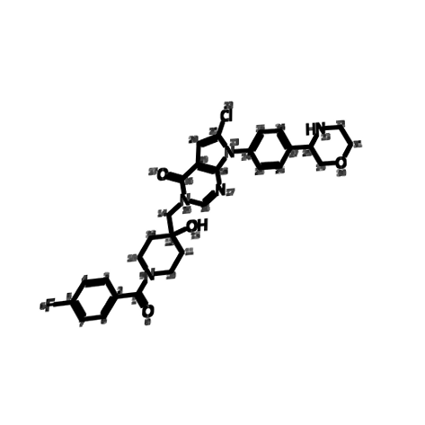 O=C(c1ccc(F)cc1)N1CCC(O)(Cn2cnc3c(cc(Cl)n3-c3ccc(C4COCCN4)cc3)c2=O)CC1